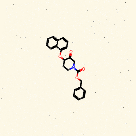 O=C1CN(C(=O)OCc2ccccc2)CCC1Oc1cccc2ccccc12